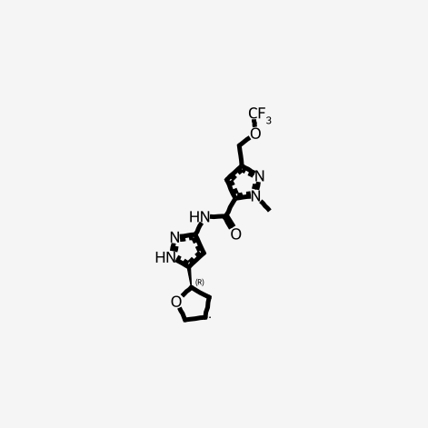 Cn1nc(COC(F)(F)F)cc1C(=O)Nc1cc([C@H]2C[CH]CO2)[nH]n1